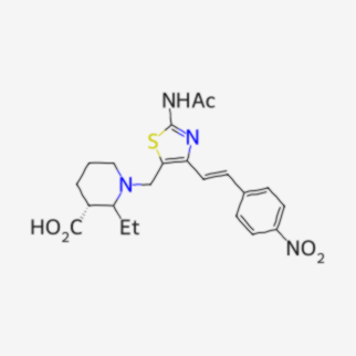 CCC1[C@H](C(=O)O)CCCN1Cc1sc(NC(C)=O)nc1C=Cc1ccc([N+](=O)[O-])cc1